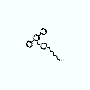 OCCCCCCN1CCN(Cc2cc(-c3ccccn3)nnc2-c2ccccn2)CC1